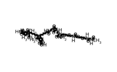 CC[N+]1=C(/C=C/C=C/C=C2/N(CCCCCC(=O)NCCN3C(=O)CC(SC[C@@H](NC(=O)COCCOCCNC(=O)COCCOCCNC(=O)CNC(C)=O)C(N)=O)C3=O)c3ccc(S(=O)(=O)O)cc3C2(C)C)C(C)(C)c2cc(S(=O)(=O)O)ccc21